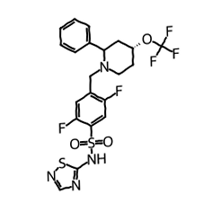 O=S(=O)(Nc1ncns1)c1cc(F)c(CN2CC[C@@H](OC(F)(F)F)CC2c2ccccc2)cc1F